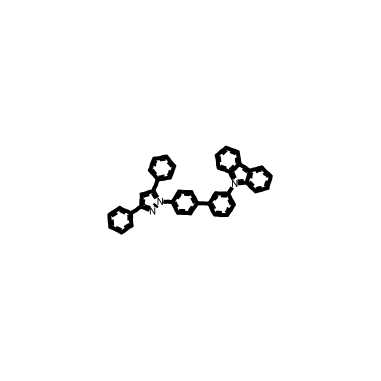 c1ccc(-c2cc(-c3ccccc3)n(-c3ccc(-c4cccc(-n5c6ccccc6c6ccccc65)c4)cc3)n2)cc1